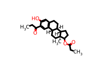 CCC(=O)OC1CC[C@H]2[C@@H]3CCc4cc(O)c(C(=O)CC)cc4[C@H]3CC[C@]12C